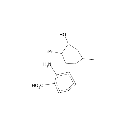 CC1CCC(C(C)C)C(O)C1.Nc1ccccc1C(=O)O